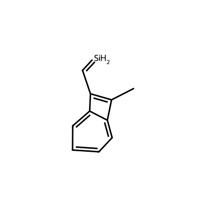 CC1=C(C=[SiH2])c2ccccc21